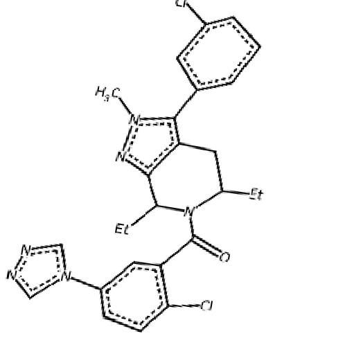 CCC1Cc2c(nn(C)c2-c2cccc(Cl)c2)C(CC)N1C(=O)c1cc(-n2cnnc2)ccc1Cl